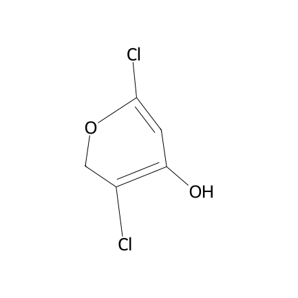 OC1=C(Cl)COC(Cl)=C1